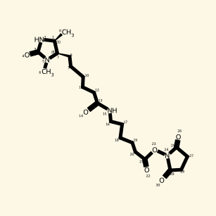 C[C@@H]1NC(=O)N(C)[C@@H]1CCCCCC(=O)NCCCCCC(=O)ON1C(=O)CCC1=O